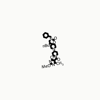 CCCCC1CN(CC2CCCCC2)C(=O)OC12CCN(C1CCN(C(=O)c3c(C)nc(OC)nc3C)CC1)CC2